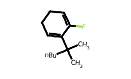 CCCCC(C)(C)C1=CC[CH]C=C1F